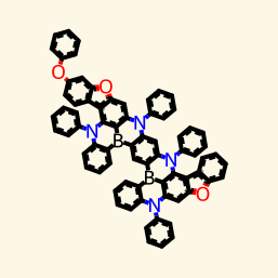 c1ccc(Oc2ccc3c(c2)oc2cc4c5c(c23)N(c2ccccc2)c2ccccc2B5c2cc3c(cc2N4c2ccccc2)N(c2ccccc2)c2c4c(cc5oc6ccccc6c25)N(c2ccccc2)c2ccccc2B34)cc1